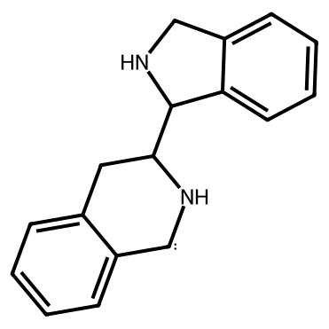 [C]1NC(C2NCc3ccccc32)Cc2ccccc21